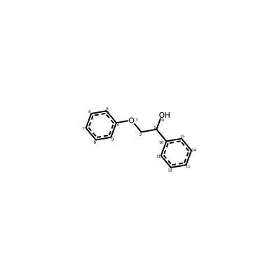 OC(COc1[c]cccc1)c1ccccc1